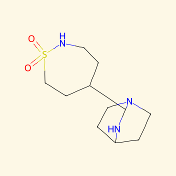 O=S1(=O)CCC(C2NC3CCN2CC3)CCN1